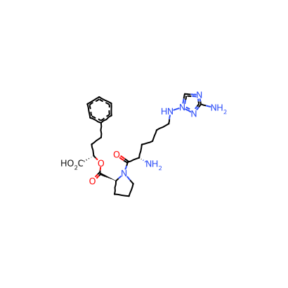 Nc1ncn(NCCCC[C@H](N)C(=O)N2CCC[C@H]2C(=O)O[C@@H](CCc2ccccc2)C(=O)O)n1